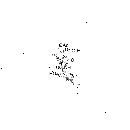 CC(=O)OCC1=C(OC(=O)O)N2C(=O)[C@@H](NC(=O)/C(=N\O)c3c[se]c(N)n3)[C@H]2SC1